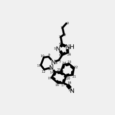 CCCCc1nc(CN2CCCCN2c2ccc(C#N)c3ccccc23)c[nH]1